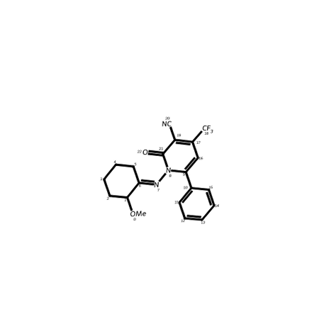 COC1CCCCC1=Nn1c(-c2ccccc2)cc(C(F)(F)F)c(C#N)c1=O